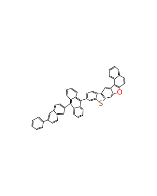 c1ccc(-c2ccc3cc(-c4c5ccccc5c(-c5ccc6c(c5)sc5cc7oc8ccc9ccccc9c8c7cc56)c5ccccc45)ccc3c2)cc1